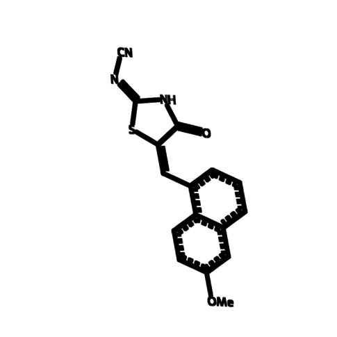 COc1ccc2c(C=C3SC(=NC#N)NC3=O)cccc2c1